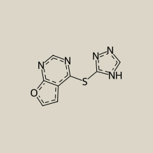 c1nc(Sc2nnc[nH]2)c2ccoc2n1